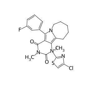 CN1C(=O)c2c(c3n(c2-c2cccc(F)c2)CCCCC3)[N+](C)(c2nc(Cl)cs2)C1=O